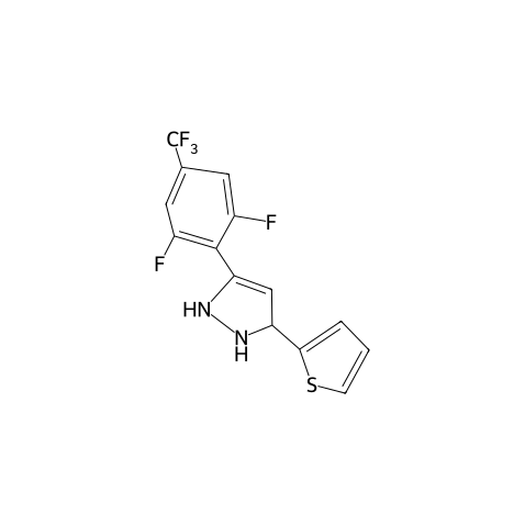 Fc1cc(C(F)(F)F)cc(F)c1C1=CC(c2cccs2)NN1